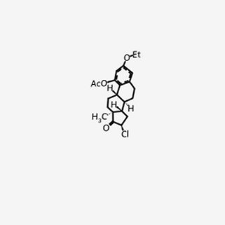 CCOc1cc2c(c(OC(C)=O)c1)[C@H]1CC[C@]3(C)C(=O)[C@H](Cl)C[C@H]3[C@@H]1CC2